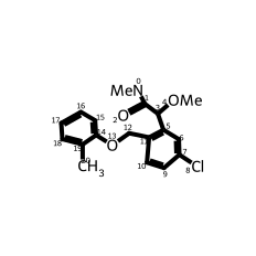 CNC(=O)C(OC)c1cc(Cl)ccc1COc1ccccc1C